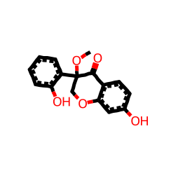 COC1(c2ccccc2O)COc2cc(O)ccc2C1=O